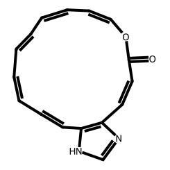 O=C1C=Cc2nc[nH]c2C=CC=CC=CC=CC=CO1